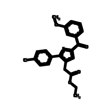 CCOC(=O)Cc1cc(C(=O)c2cccc(OC)c2)sc1-c1ccc(Cl)cc1